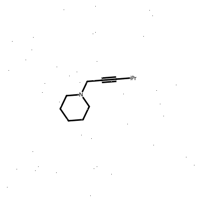 CC(C)C#CCN1CCCCC1